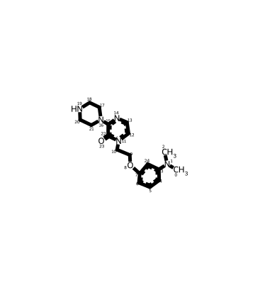 CN(C)c1cccc(OCCn2ccnc(N3CCNCC3)c2=O)c1